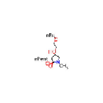 CCCCCO.CCCCOCCO.CN1CCCC1=O